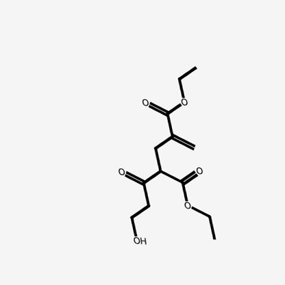 C=C(CC(C(=O)CCO)C(=O)OCC)C(=O)OCC